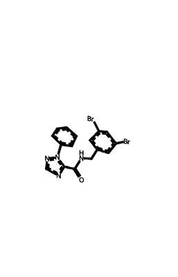 O=C(NCc1cc(Br)cc(Br)c1)c1ncnn1-c1ccccc1